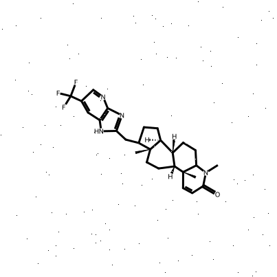 CN1C(=O)C=C[C@@]2(C)C1CC[C@@H]1[C@H]2CC[C@]2(C)C(Cc3nc4ncc(C(F)(F)F)cc4[nH]3)CC[C@@H]12